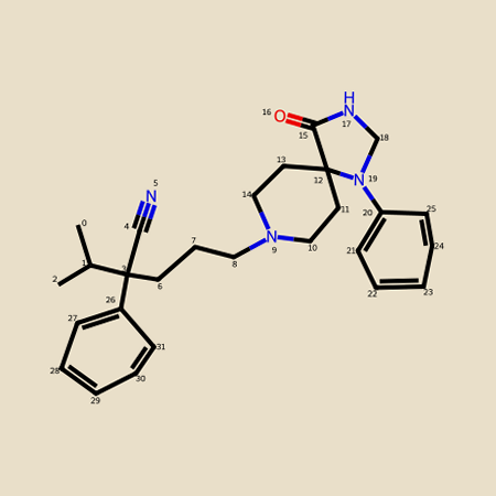 CC(C)C(C#N)(CCCN1CCC2(CC1)C(=O)NCN2c1ccccc1)c1ccccc1